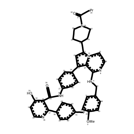 COc1ccc(CNc2nccn3c(C4CCN(C(=O)C(C)C)CC4)cc(-c4ccc(NC(=O)c5c(O)ccnc5-c5ccc(F)cc5)cc4)c23)cc1